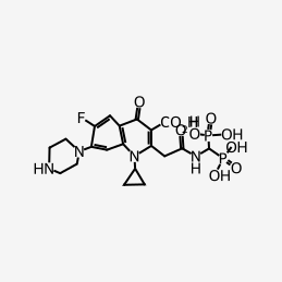 O=C(Cc1c(C(=O)O)c(=O)c2cc(F)c(N3CCNCC3)cc2n1C1CC1)NC(P(=O)(O)O)P(=O)(O)O